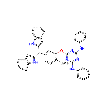 COc1ccc(C(c2cc3ccccc3[nH]2)c2cc3ccccc3[nH]2)cc1Oc1nc(Nc2ccccc2)nc(Nc2ccccc2)n1